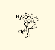 O.O.O.O.[Cl][Hf]([Cl])([Cl])[Cl]